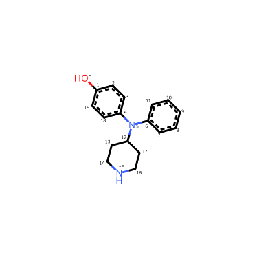 Oc1ccc(N(c2ccccc2)C2CCNCC2)cc1